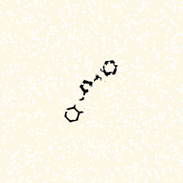 NC1CCCCC1OCc1ccc(-c2nc3ccccc3o2)s1